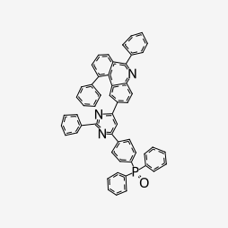 O=P(c1ccccc1)(c1ccccc1)c1ccc(-c2cc(-c3ccc4nc(-c5ccccc5)c5cccc(-c6ccccc6)c5c4c3)nc(-c3ccccc3)n2)cc1